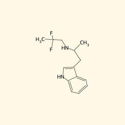 CC(Cc1c[nH]c2ccccc12)NCC(C)(F)F